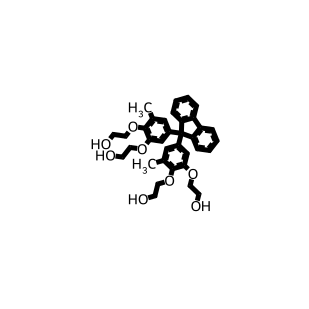 Cc1cc(C2(c3cc(C)c(OCCO)c(OCCO)c3)c3ccccc3-c3ccccc32)cc(OCCO)c1OCCO